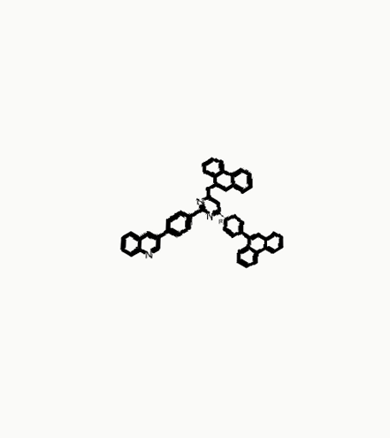 C1=C[C@H](c2cc(Cc3cc4ccccc4c4ccccc34)nc(-c3ccc(-c4cnc5ccccc5c4)cc3)n2)CC=C1c1cc2ccccc2c2ccccc12